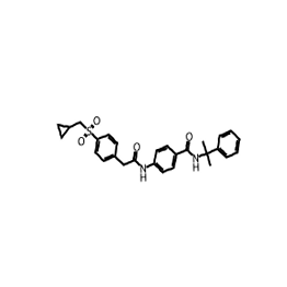 CC(C)(NC(=O)c1ccc(NC(=O)Cc2ccc(S(=O)(=O)CC3CC3)cc2)cc1)c1ccccc1